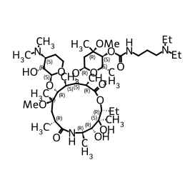 CC[C@H]1OC(=O)[C@H](C)[C@@H](O[C@H]2C[C@@](C)(OC)[C@@H](OC(=O)NCCCN(CC)CC)[C@H](C)O2)[C@H](C)[C@@H](O[C@@H]2OCC[C@H](N(C)C)[C@H]2O)[C@](C)(OC)C[C@@H](C)C(=O)N[C@H](C)[C@@H](O)[C@]1(C)O